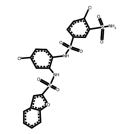 NS(=O)(=O)c1cc(S(=O)(=O)Nc2ccc(Cl)cc2NS(=O)(=O)c2cc3ccccc3o2)ccc1Cl